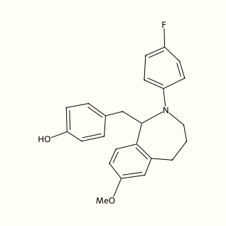 COc1ccc2c(c1)CCCN(c1ccc(F)cc1)C2Cc1ccc(O)cc1